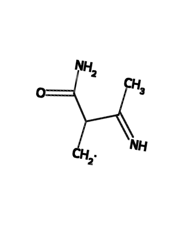 [CH2]C(C(C)=N)C(N)=O